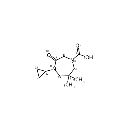 CC1(C)CN(C(=O)O)CC(=O)N(C2CC2)C1